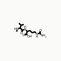 CNC(C(=O)NC(CCCNC(N)=O)C(=O)O)C(C)C